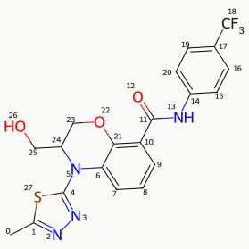 Cc1nnc(N2c3cccc(C(=O)Nc4ccc(C(F)(F)F)cc4)c3OCC2CO)s1